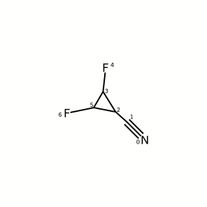 N#CC1C(F)C1F